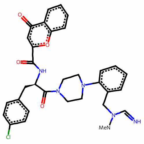 CNN(C=N)Cc1ccccc1N1CCN(C(=O)[C@@H](Cc2ccc(Cl)cc2)NC(=O)c2cc(=O)c3ccccc3o2)CC1